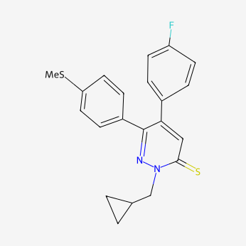 CSc1ccc(-c2nn(CC3CC3)c(=S)cc2-c2ccc(F)cc2)cc1